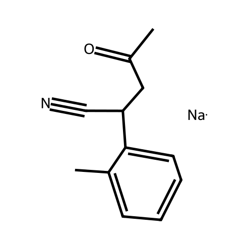 CC(=O)CC(C#N)c1ccccc1C.[Na]